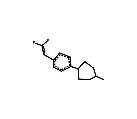 CC1CCC(c2ccc(C=C(F)F)cc2)CC1